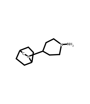 NN1CCC(N2CC3CCC2CC3)CC1